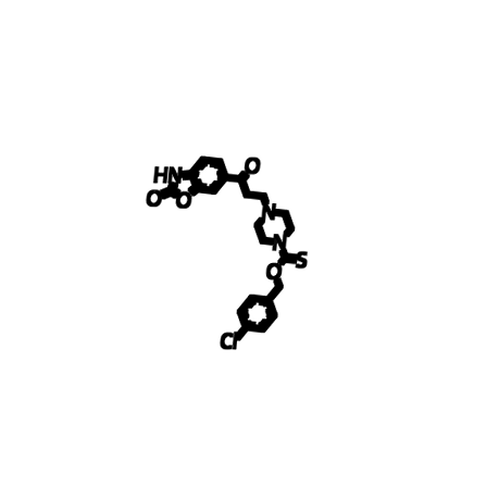 O=C(CCN1CCN(C(=S)OCc2ccc(Cl)cc2)CC1)c1ccc2[nH]c(=O)oc2c1